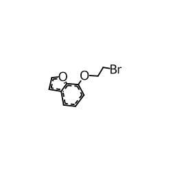 BrCCOc1cccc2ccoc12